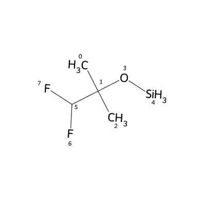 CC(C)(O[SiH3])C(F)F